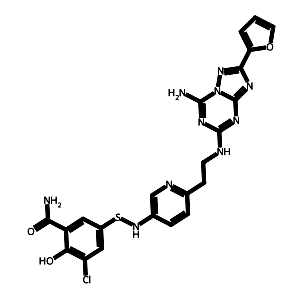 NC(=O)c1cc(SNc2ccc(CCNc3nc(N)n4nc(-c5ccco5)nc4n3)nc2)cc(Cl)c1O